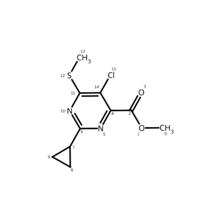 COC(=O)c1nc(C2CC2)nc(SC)c1Cl